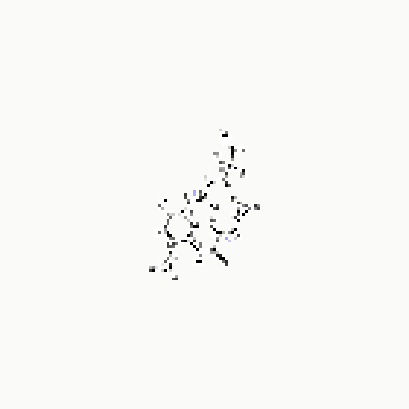 C=C(NC1=CN(/C=C(\C)CCC(C)(C)N=O)C(C)C=C1C1CC1)/C(C)=C/C1CC1